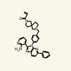 C=CC(=O)N1CCC2(CCN(Cc3ccc(-n4c(-c5cccnc5N)nc5ccc(-c6ccccc6)nc54)cc3)C2)C1